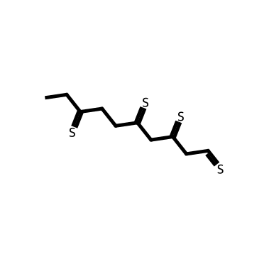 CCC(=S)CCC(=S)CC(=S)CC=S